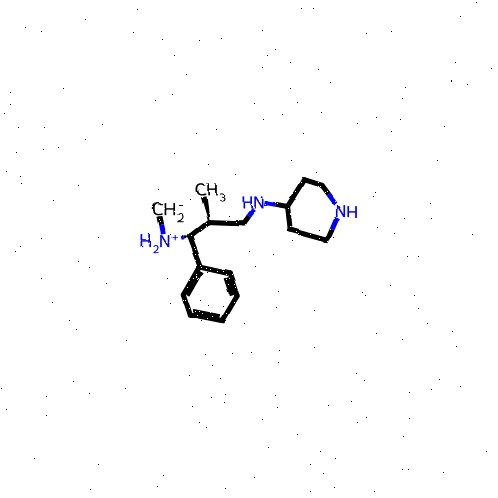 [CH2-][NH2+][C@@H](c1ccccc1)[C@@H](C)CNC1CCNCC1